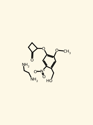 COc1cc(CO)c([N+](=O)[O-])cc1OC1CCC1=O.NCCN